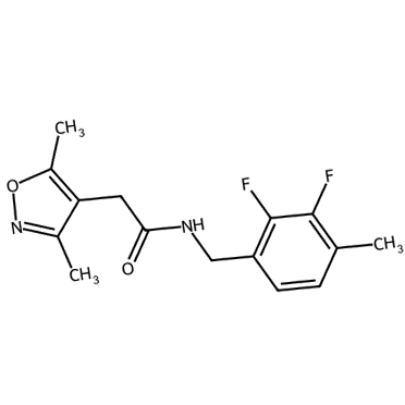 Cc1ccc(CNC(=O)Cc2c(C)noc2C)c(F)c1F